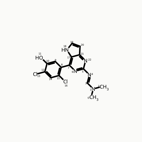 CN(C)C=Nc1nc(-c2cc(O)c(Cl)cc2Cl)c2[nH]ccc2n1